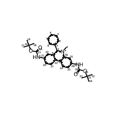 C[n+]1c(-c2ccccc2)c2cc(NC(=O)OC(C)(C)C)ccc2c2ccc(NC(=O)OC(C)(C)C)cc21